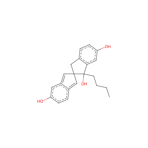 CCCCC1(O)c2cc(O)ccc2CC12C=c1ccc(O)cc1=C2